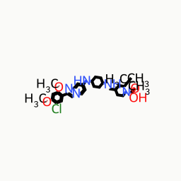 COc1cc(OC)c(-c2cn3ccc(NC4CCC(NCC5CCN(C(=O)O)C(C(C)(C)C)C5)CC4)cc3n2)cc1Cl